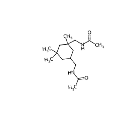 CC(=O)NCC1CC(C)(C)CC(C)(CNC(C)=O)C1